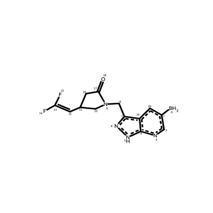 Bc1cnc2[nH]nc(CN3CC(C=C(F)F)CC3=O)c2c1